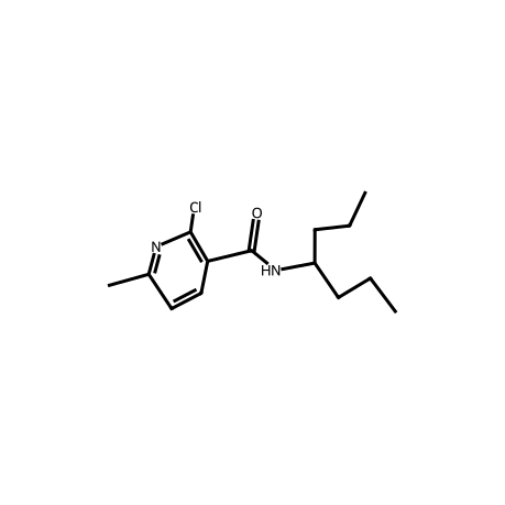 CCCC(CCC)NC(=O)c1ccc(C)nc1Cl